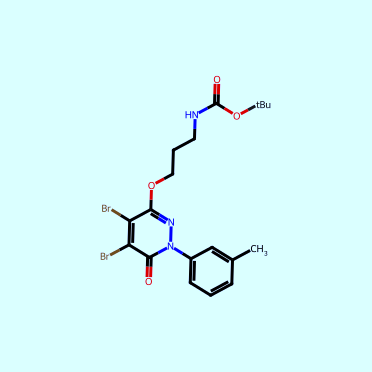 Cc1cccc(-n2nc(OCCCNC(=O)OC(C)(C)C)c(Br)c(Br)c2=O)c1